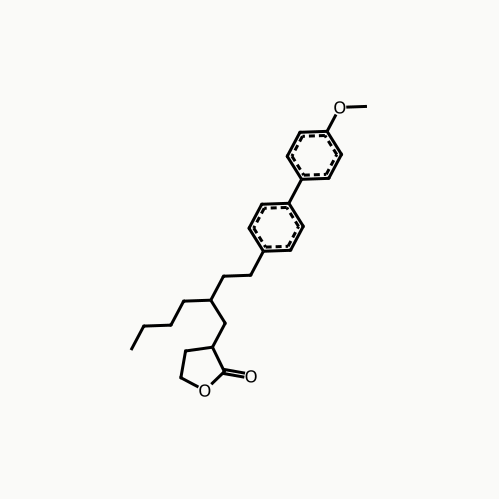 CCCCC(CCc1ccc(-c2ccc(OC)cc2)cc1)CC1CCOC1=O